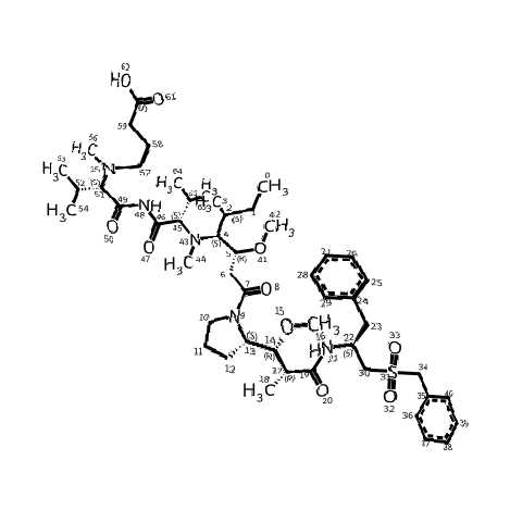 CC[C@H](C)[C@@H]([C@@H](CC(=O)N1CCC[C@H]1[C@H](OC)[C@@H](C)C(=O)N[C@@H](Cc1ccccc1)CS(=O)(=O)Cc1ccccc1)OC)N(C)[C@H](C(=O)NC(=O)[C@H](C(C)C)N(C)CCCC(=O)O)C(C)C